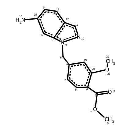 COC(=O)c1ccc(Cn2ncc3ccc(N)cc32)cc1OC